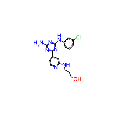 Nc1nc(Nc2cccc(Cl)c2)nc(-c2ccnc(NCCCO)c2)n1